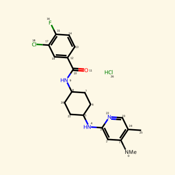 CNc1cc(NC2CCC(NC(=O)c3ccc(F)c(Cl)c3)CC2)ncc1C.Cl